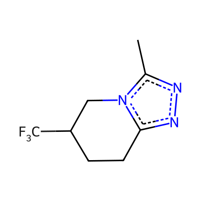 Cc1nnc2n1CC(C(F)(F)F)CC2